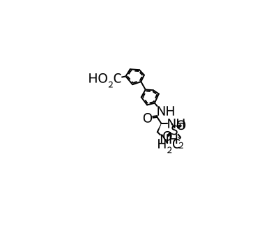 C=CS(=O)(=O)N[C@@H](CN)C(=O)Nc1ccc(-c2cccc(C(=O)O)c2)cc1